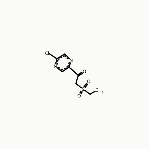 CCS(=O)(=O)CC(=O)c1cnc(Cl)cn1